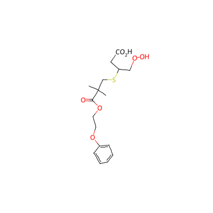 CC(C)(CSC(COO)CC(=O)O)C(=O)OCCOc1ccccc1